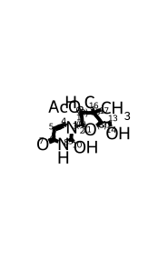 CC(=O)O[C@H]1[C@H](N2C=CC(=O)NC2O)O[C@H](CO)C1(C)C